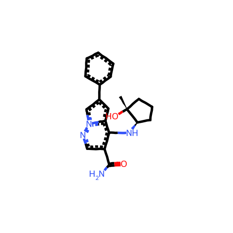 C[C@@]1(O)CCC[C@H]1Nc1c(C(N)=O)cnn2cc(-c3ccccc3)cc12